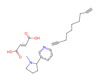 C#CCCCCCCC#C.CN1CCCC1c1cccnc1.O=C(O)/C=C/C(=O)O